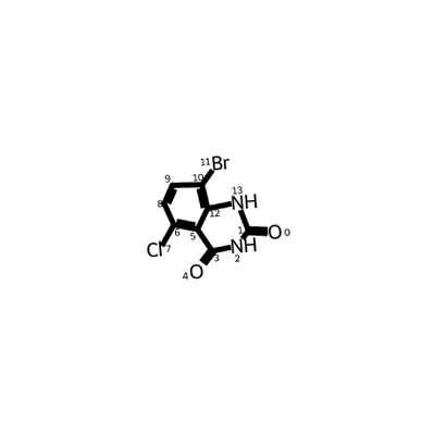 O=c1[nH]c(=O)c2c(Cl)ccc(Br)c2[nH]1